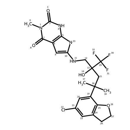 Cn1c(=O)[nH]c2c(c1=O)C=C(NCC(O)(CC(C)(C)c1cc(Cl)cc3c1OCC3)C(F)(F)F)[N]2